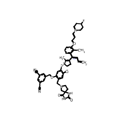 C=C/C=C(\C1=C(C)[C@@H](Oc2cc(OCc3cc(C#N)cc(C#N)c3)c(CN3CCC4(C3)NC(=O)NC4=O)cc2Cl)CC1)c1cccc(OCCCN2CCC(F)CC2)c1C